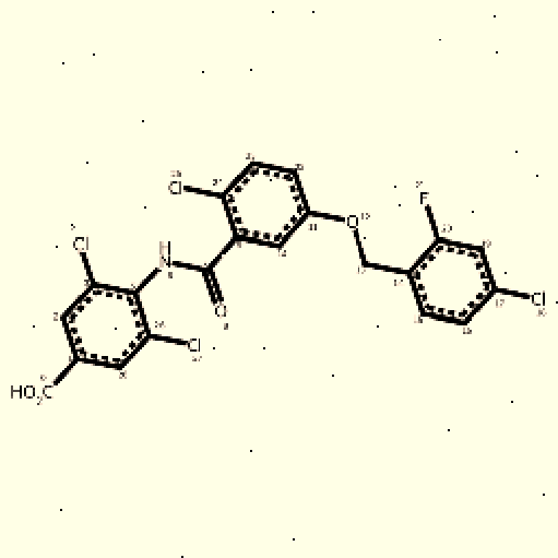 O=C(O)c1cc(Cl)c(NC(=O)c2cc(OCc3ccc(Cl)cc3F)ccc2Cl)c(Cl)c1